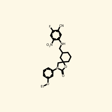 CCOc1cccc(N2CC3(CCCC(CNc4cc(C#N)c(F)cc4[N+](=O)[O-])C3)OC2=O)c1